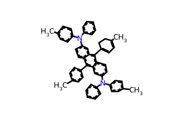 CC1=CC=C(c2c3cc(N(c4ccccc4)c4ccc(C)cc4)ccc3c(-c3ccc(C)cc3)c3cc(N(c4ccccc4)c4ccc(C)cc4)ccc23)CC1